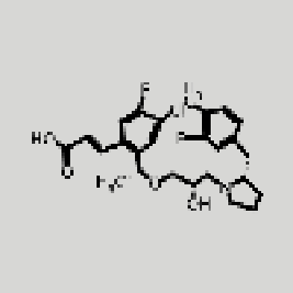 Cc1ccc(C[C@@H]2CCCN2C[C@@H](O)CO[C@H](C)c2cc(Cl)c(F)cc2C=CC(=O)O)cc1F